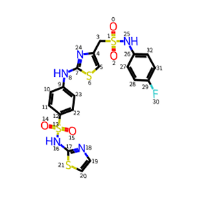 O=S(=O)(Cc1csc(Nc2ccc(S(=O)(=O)Nc3nccs3)cc2)n1)Nc1ccc(F)cc1